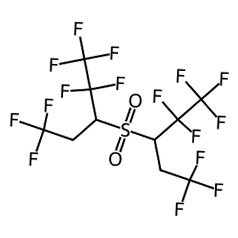 O=S(=O)(C(CC(F)(F)F)C(F)(F)C(F)(F)F)C(CC(F)(F)F)C(F)(F)C(F)(F)F